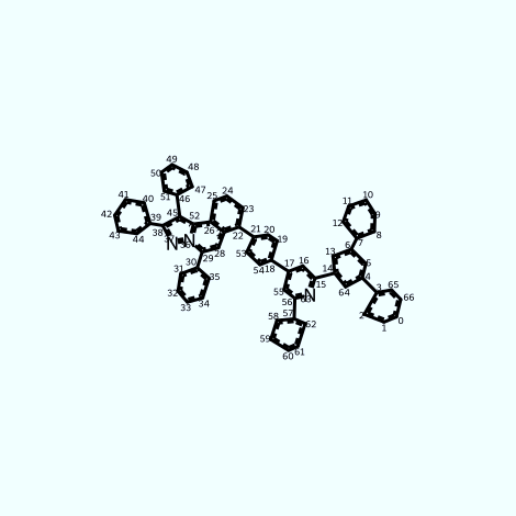 c1ccc(-c2cc(-c3ccccc3)cc(-c3cc(-c4ccc(-c5cccc6c5cc(-c5ccccc5)n5nc(-c7ccccc7)c(-c7ccccc7)c65)cc4)cc(-c4ccccc4)n3)c2)cc1